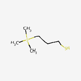 CS(C)(C)CCCS